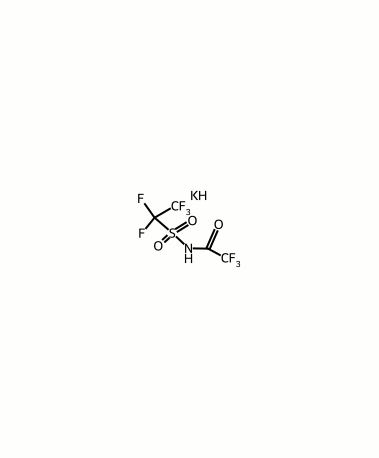 O=C(NS(=O)(=O)C(F)(F)C(F)(F)F)C(F)(F)F.[KH]